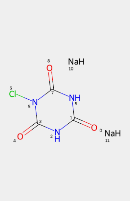 O=c1[nH]c(=O)n(Cl)c(=O)[nH]1.[NaH].[NaH]